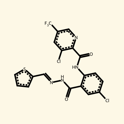 O=C(NN=Cc1cccs1)c1cc(Cl)ccc1NC(=O)c1ncc(C(F)(F)F)cc1Cl